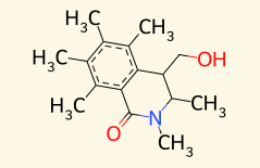 Cc1c(C)c(C)c2c(c1C)C(=O)N(C)C(C)C2CO